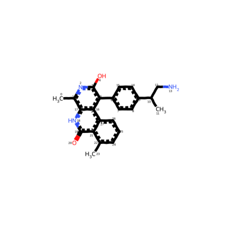 Cc1nc(O)c(-c2ccc(C(C)CN)cc2)c2c1[nH]c(=O)c1c(C)cccc12